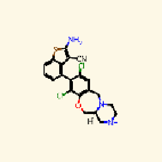 N#Cc1c(N)sc2cccc(-c3c(Cl)cc4c(c3Cl)OC[C@@H]3CNCCN3C4)c12